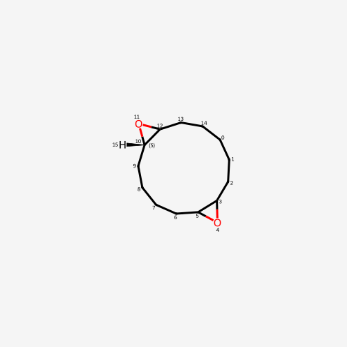 C1CCC2OC2CCCC[C@@H]2OC2CC1